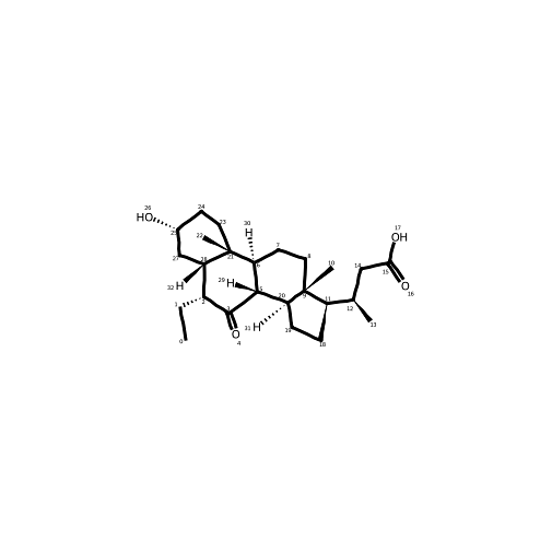 CC[C@H]1C(=O)[C@@H]2[C@H](CC[C@]3(C)[C@@H]([C@H](C)CC(=O)O)CC[C@@H]23)[C@@]2(C)CC[C@@H](O)C[C@@H]12